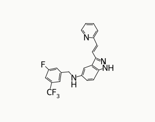 Fc1cc(CNc2ccc3[nH]nc(C=Cc4ccccn4)c3c2)cc(C(F)(F)F)c1